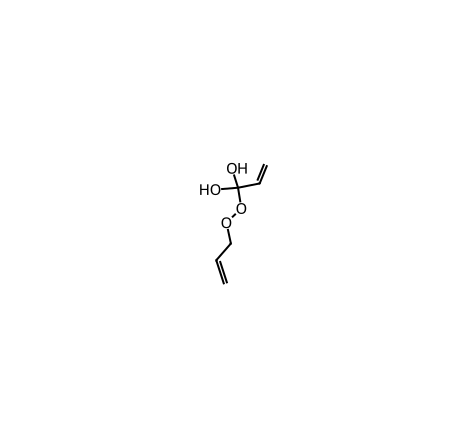 C=CCOOC(O)(O)C=C